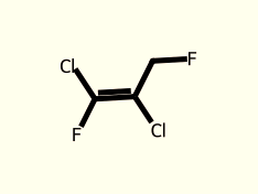 FCC(Cl)=C(F)Cl